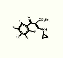 CCOC(=O)C(=CNC1CC1)C(=O)c1c(F)c(F)c(Br)c(F)c1F